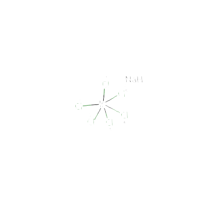 [Cl][Ir]([Cl])([Cl])([Cl])([Cl])[Cl].[NaH]